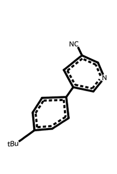 CC(C)(C)c1ccc(-c2cncc(C#N)c2)cc1